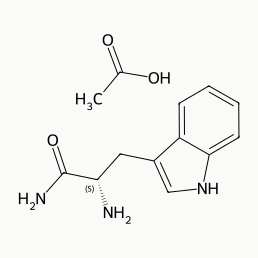 CC(=O)O.NC(=O)[C@@H](N)Cc1c[nH]c2ccccc12